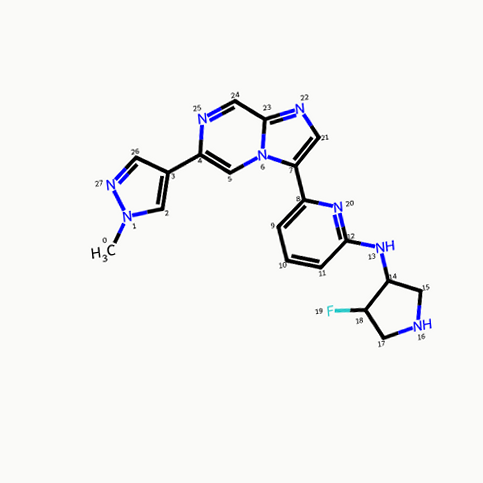 Cn1cc(-c2cn3c(-c4cccc(NC5CNCC5F)n4)cnc3cn2)cn1